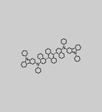 c1ccc(N(c2ccc3c(c2)c2ccccc2n3-c2ccccc2)c2ccc(-c3c4ccccc4c(-c4ccc(N(c5ccccc5)c5ccc6c(c5)c5ccccc5n6-c5ccccc5)c5ccccc45)c4ccccc34)c3ccccc23)cc1